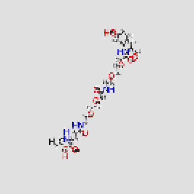 CN[C@@H](CCC(=O)NCCOCCOCC(=O)NCCOCCOCC(=O)NC(C=O)Cc1ccc(O)cc1)C(=O)O